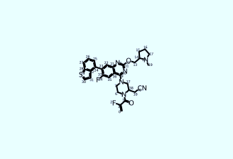 C=C(F)C(=O)N1CCN(c2nc(OCC3CCCN3C)nc3cc(-c4cccc5sccc45)c(F)cc23)CC1CC#N